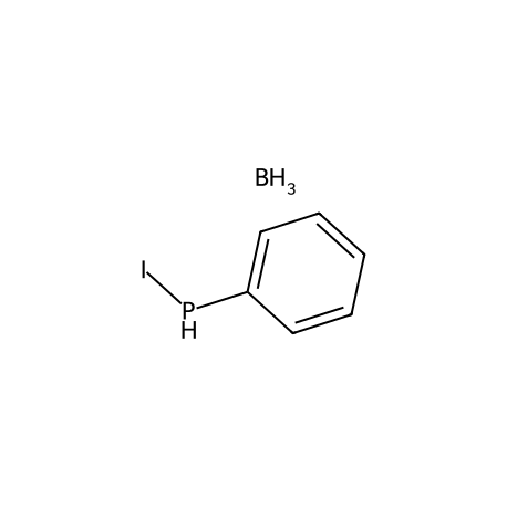 B.IPc1ccccc1